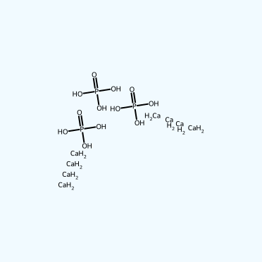 O=P(O)(O)O.O=P(O)(O)O.O=P(O)(O)O.[CaH2].[CaH2].[CaH2].[CaH2].[CaH2].[CaH2].[CaH2].[CaH2]